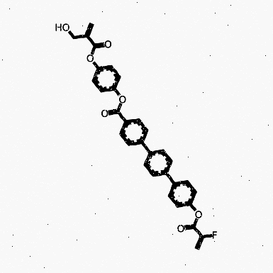 C=C(F)C(=O)Oc1ccc(-c2ccc(-c3ccc(C(=O)Oc4ccc(OC(=O)C(=C)CO)cc4)cc3)cc2)cc1